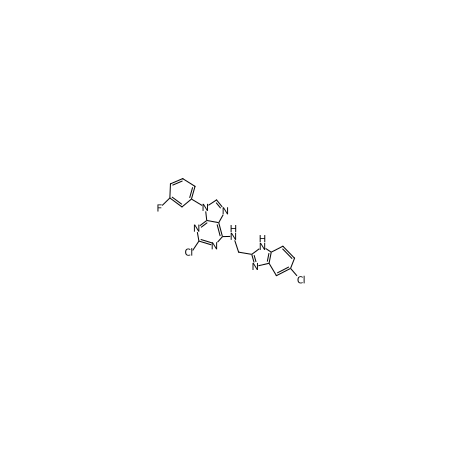 Fc1cccc(-n2cnc3c(NCc4nc5cc(Cl)ccc5[nH]4)nc(Cl)nc32)c1